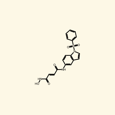 O=C(C=CC(=O)Nc1ccc2c(ccn2S(=O)(=O)c2ccccc2)c1)NO